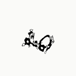 O=C1NCCCCC[C@H](n2cnc(-c3c(-n4cc(Cl)nn4)ccc(Cl)c3F)cc2=O)c2cccc(c2)N2C(=O)CC[C@@H]12